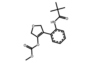 COC(=O)OC1=C(c2ccccc2NC(=O)C(C)(C)C)COC1